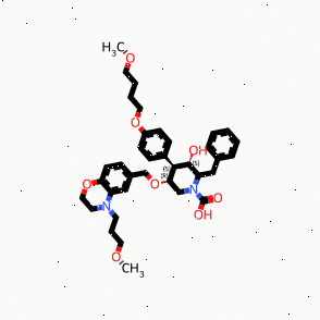 COCCCCOc1ccc([C@@H]2[C@@H](OCc3ccc4c(c3)N(CCCOC)CCO4)CN(C(=O)O)C(Cc3ccccc3)[C@H]2O)cc1